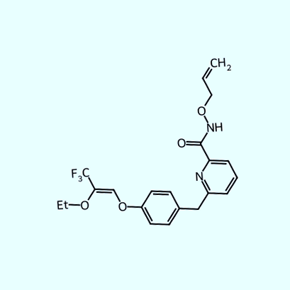 C=CCONC(=O)c1cccc(Cc2ccc(O/C=C(\OCC)C(F)(F)F)cc2)n1